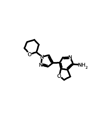 Nc1ncc(-c2cnn(C3CCCCO3)c2)c2c1CCO2